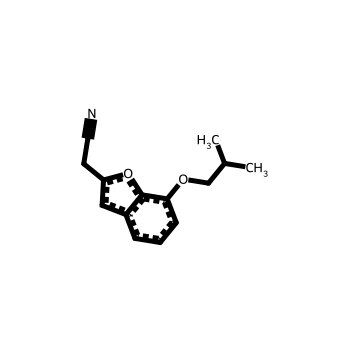 CC(C)COc1cccc2cc(CC#N)oc12